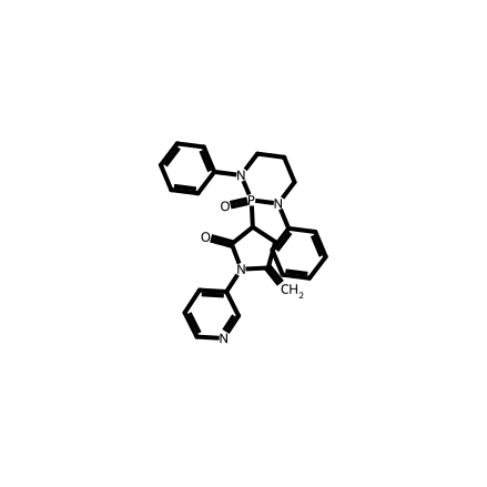 C=C1CC(P2(=O)N(c3ccccc3)CCCN2c2ccccc2)C(=O)N1c1cccnc1